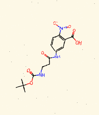 CC(C)(C)OC(=O)NCCC(=O)Nc1ccc([N+](=O)[O-])c(C(=O)O)c1